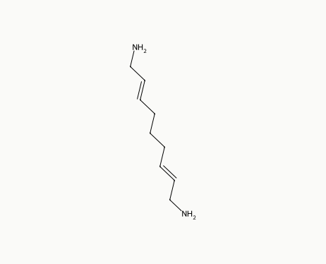 NCC=CCCCC=CCN